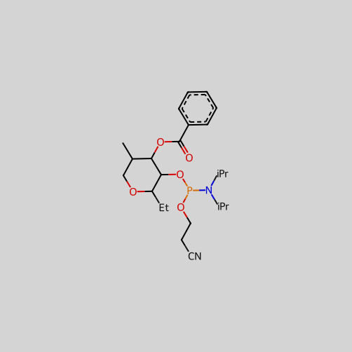 CCC1OCC(C)C(OC(=O)c2ccccc2)C1OP(OCCC#N)N(C(C)C)C(C)C